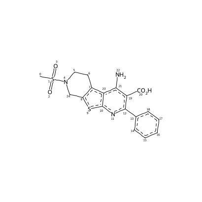 CS(=O)(=O)N1CCc2c(sc3nc(-c4ccccc4)c(C(=O)O)c(N)c23)C1